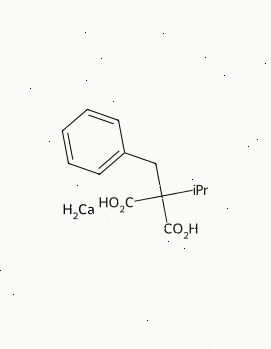 CC(C)C(Cc1ccccc1)(C(=O)O)C(=O)O.[CaH2]